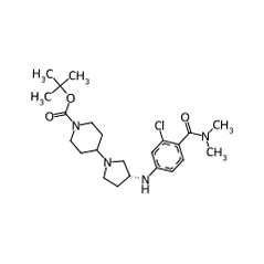 CN(C)C(=O)c1ccc(N[C@@H]2CCN(C3CCN(C(=O)OC(C)(C)C)CC3)C2)cc1Cl